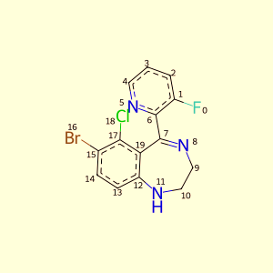 Fc1cccnc1C1=NCCNc2ccc(Br)c(Cl)c21